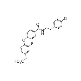 O=C(O)Cc1ccc(Oc2ccc(C(=O)NCCc3ccc(Cl)cc3)cc2)c(F)c1